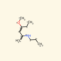 C=C(/C=C(\CC)OC)NCCC